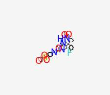 COC(=O)N[C@H]1CCC[C@@H]1[C@](CN1CCC1)(c1cccc(F)c1)C1CCN(CC2(OC)CN(c3ccc(S(=O)(=O)C4CCOCC4)cc3)C2)CC1